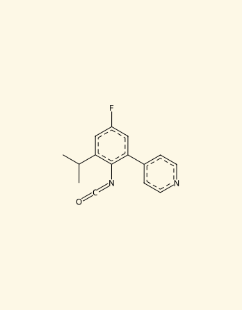 CC(C)c1cc(F)cc(-c2ccncc2)c1N=C=O